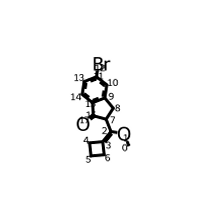 COC(=C1CCC1)C1Cc2cc(Br)ccc2C1=O